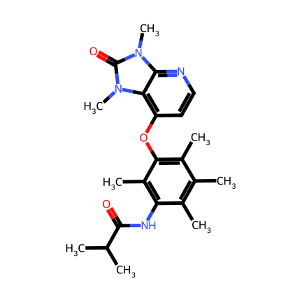 Cc1c(C)c(NC(=O)C(C)C)c(C)c(Oc2ccnc3c2n(C)c(=O)n3C)c1C